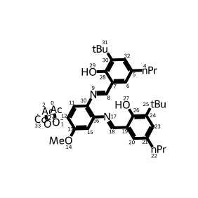 CC(=O)[O-].CC(=O)[O-].CCCc1cc(C=Nc2ccc(OC)cc2N=Cc2cc(CCC)cc(C(C)(C)C)c2O)c(O)c(C(C)(C)C)c1.[Co+2]